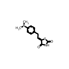 CN(C)c1ccc(C/C=C2\SC(=O)NC2=O)cc1